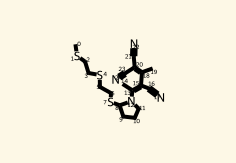 CSCCSCCSC1CCCN1/C(C)=C(\C#N)C(C)=C(C#N)C#N